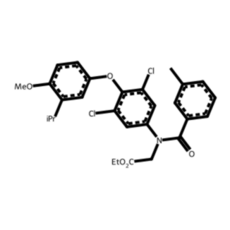 CCOC(=O)CN(C(=O)c1cccc(C)c1)c1cc(Cl)c(Oc2ccc(OC)c(C(C)C)c2)c(Cl)c1